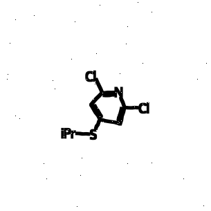 CC(C)Sc1cc(Cl)nc(Cl)c1